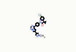 Cn1cc(-c2cc3c(-c4ccc(NC(=O)C5(c6ccc(Cl)cc6)CC5)cc4)ncnn3c2)cn1